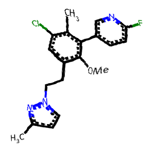 COc1c(CCn2ccc(C)n2)cc(Cl)c(C)c1-c1ccc(F)nc1